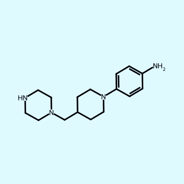 Nc1ccc(N2CCC(CN3CCNCC3)CC2)cc1